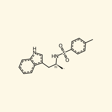 [CH2][C@@H](Cc1c[nH]c2ccccc12)NS(=O)(=O)c1ccc(C)cc1